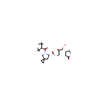 [2H]C([2H])([2H])C(C(=O)N1CC2(CC2)C[C@H]1C(=O)N[C@@H](C[C@@H]1CCNC1=O)C(=O)COC(F)(F)F)C([2H])([2H])[2H]